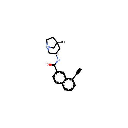 C#Cc1cccc2ccc(C(=O)N[C@@H]3C[C@H]4CCN(C4)C3)cc12